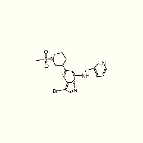 CS(=O)(=O)N1CCCC(c2cc(NCc3cccnc3)n3ncc(Br)c3n2)C1